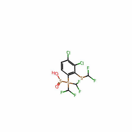 O=S(O)S(c1ccc(Cl)c(Cl)c1SC(F)F)(C(F)F)C(F)F